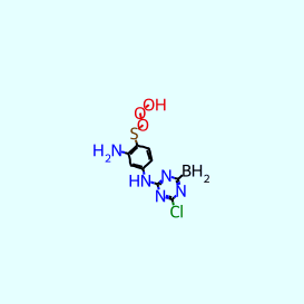 Bc1nc(Cl)nc(Nc2ccc(SOOO)c(N)c2)n1